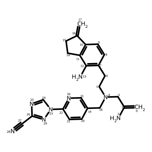 C=C(N)CN(CCc1ccc2c(c1N)CCC2=C)Cc1ccc(-n2cnc(C#N)n2)nc1